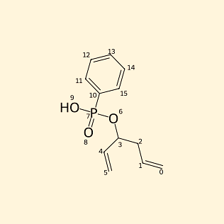 C=CCC(C=C)OP(=O)(O)c1ccccc1